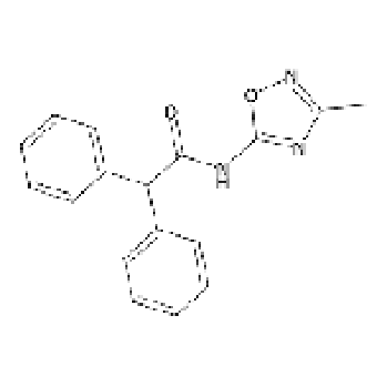 Cc1noc(NC(=O)C(c2ccccc2)c2ccccc2)n1